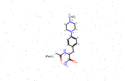 CCC[C@@H](C)CC(=O)NC(Cc1ccc(N2CCN(C=O)CC2)cc1)C(N)=O